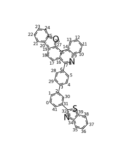 c1cc(-c2ccc(-c3nc4ccccc4c4c3ccc3c5ccccc5oc34)cc2)cc(-c2nc3ccccc3s2)c1